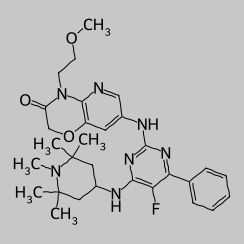 COCCN1C(=O)COc2cc(Nc3nc(NC4CC(C)(C)N(C)C(C)(C)C4)c(F)c(-c4ccccc4)n3)cnc21